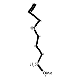 C=CCNCCC[SiH2]OC